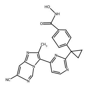 Cc1nc2cc(C#N)ncn2c1-c1ccnc(C2(c3ccc(C(=O)NO)cc3)CC2)n1